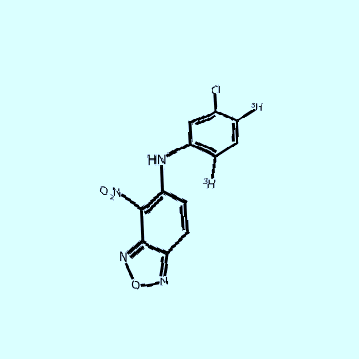 [3H]c1cc([3H])c(Nc2ccc3nonc3c2[N+](=O)[O-])cc1Cl